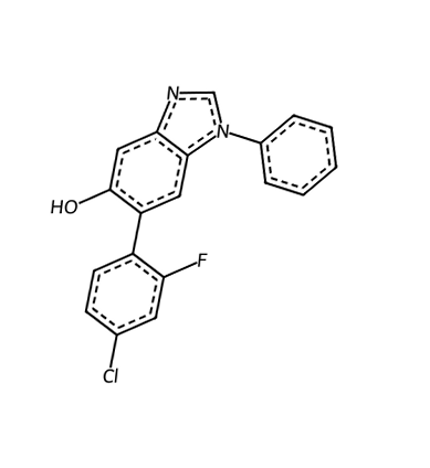 Oc1cc2ncn(-c3ccccc3)c2cc1-c1ccc(Cl)cc1F